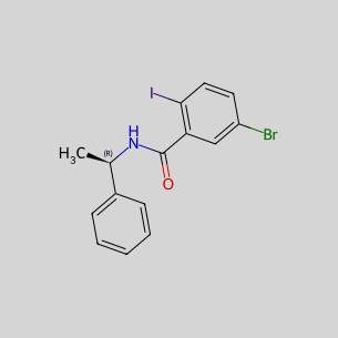 C[C@@H](NC(=O)c1cc(Br)ccc1I)c1ccccc1